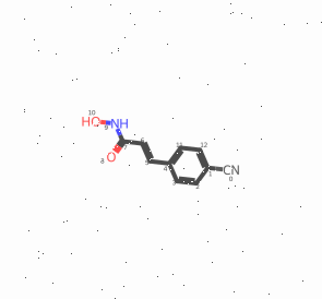 N#Cc1ccc(C=CC(=O)NO)cc1